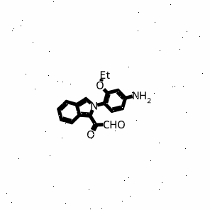 CCOc1cc(N)ccc1-n1cc2ccccc2c1C(=O)C=O